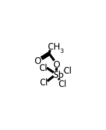 CC(=O)[O][Sb]([Cl])([Cl])([Cl])[Cl]